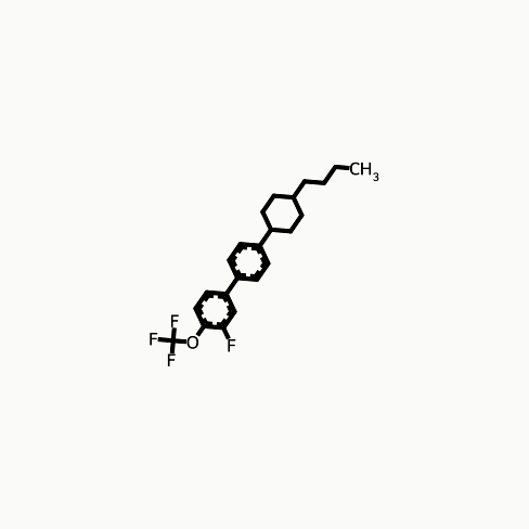 CCCCC1CCC(c2ccc(-c3ccc(OC(F)(F)F)c(F)c3)cc2)CC1